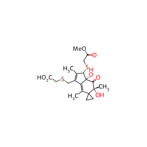 COC(=O)CSC1C(C)=C(CSCC(=O)O)C2=C(C)C3(CC3)[C@@](C)(O)C(=O)C21O